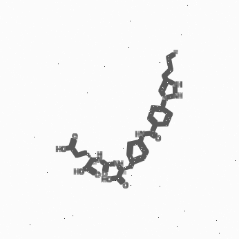 O=C(O)CC[C@H](NC(=O)N[C@@H](Cc1ccc(NC(=O)c2ccc(N3C=C(CCCF)NN3)cc2)cc1)C(=O)O)C(=O)O